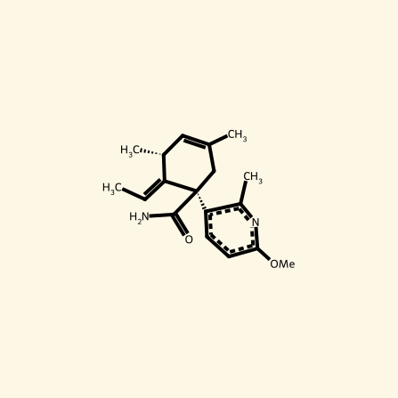 C/C=C1\[C@H](C)C=C(C)C[C@]1(C(N)=O)c1ccc(OC)nc1C